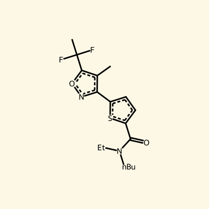 CCCCN(CC)C(=O)c1ccc(-c2noc(C(C)(F)F)c2C)s1